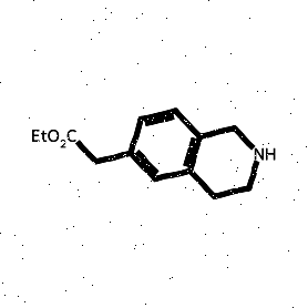 CCOC(=O)Cc1ccc2c(c1)CCNC2